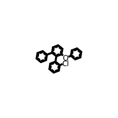 Clc1ccccc1-c1c(Oc2ccccc2)cccc1-c1ccccc1